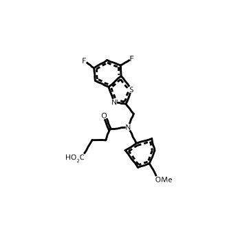 COc1ccc(N(Cc2nc3cc(F)cc(F)c3s2)C(=O)CCC(=O)O)cc1